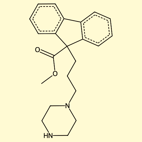 COC(=O)C1(CCCN2CCNCC2)c2ccccc2-c2ccccc21